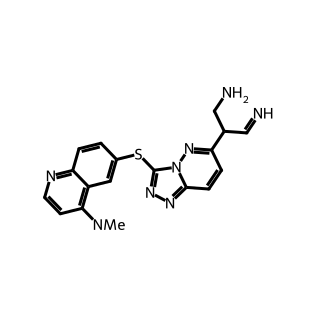 CNc1ccnc2ccc(Sc3nnc4ccc(C(C=N)CN)nn34)cc12